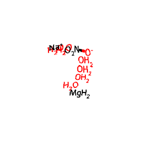 O.O.O.O.O.O.O=[N+]([O-])[O-].[MgH2].[Na+]